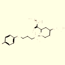 O=C(O)C1CCN(S(=O)(=O)CCCOc2ccc(F)cc2)C(C(=O)NO)C1